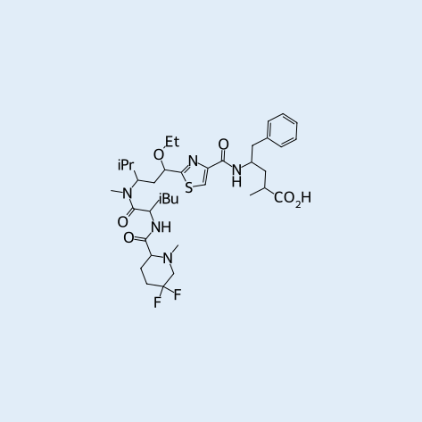 CCOC(CC(C(C)C)N(C)C(=O)C(NC(=O)C1CCC(F)(F)CN1C)C(C)CC)c1nc(C(=O)NC(Cc2ccccc2)CC(C)C(=O)O)cs1